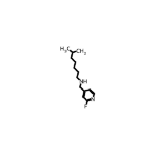 CC(C)CCCCCNCc1ccnc(F)c1